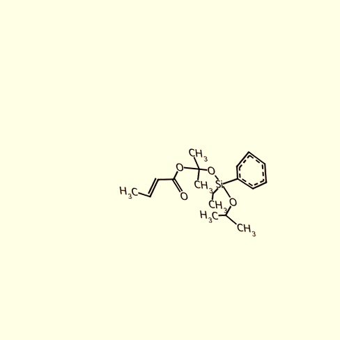 CC=CC(=O)OC(C)(C)O[Si](CC)(OC(C)C)c1ccccc1